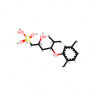 Cc1ccc(C)c(OC(CC(O)CS(=O)(=O)O)C(C)C)c1